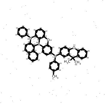 Cc1ccc(N(c2ccc3c(c2)Oc2cccc4c2B3c2c(ccc3ccccc23)N4c2ccccc2)c2ccc3c(c2)C(C)(C)c2ccccc2O3)cc1